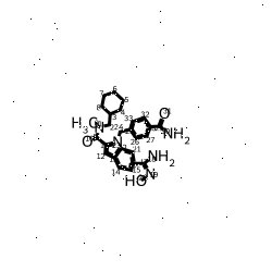 CN(CC1CCCCC1)C(=O)c1cc2ccc(/C(N)=N\O)cc2n1Cc1ccc(C(N)=O)cc1